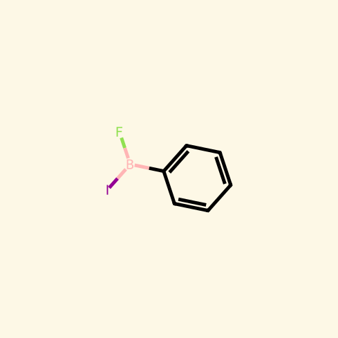 FB(I)c1ccccc1